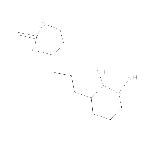 NC1C(O)CCCC1CCC[C@H]1CCNC(=O)O1